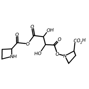 O=C(OC(=O)C(O)C(O)C(=O)ON1CCC1C(=O)O)C1CCN1